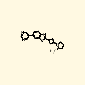 C[C@@H]1CCCN1C1CC(c2nc3ccc(-c4cncnc4)cc3s2)C1